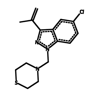 C=C(C)c1nn(CN2CCSCC2)c2ccc(Cl)cc12